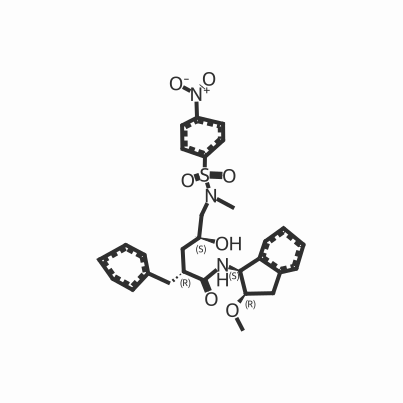 CO[C@@H]1Cc2ccccc2[C@@H]1NC(=O)[C@H](Cc1ccccc1)C[C@H](O)CN(C)S(=O)(=O)c1ccc([N+](=O)[O-])cc1